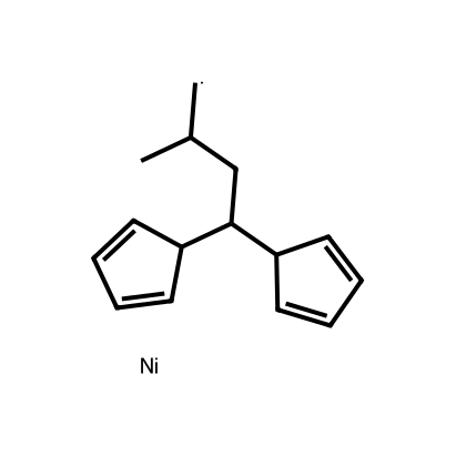 [CH2]C(C)CC(C1C=CC=C1)C1C=CC=C1.[Ni]